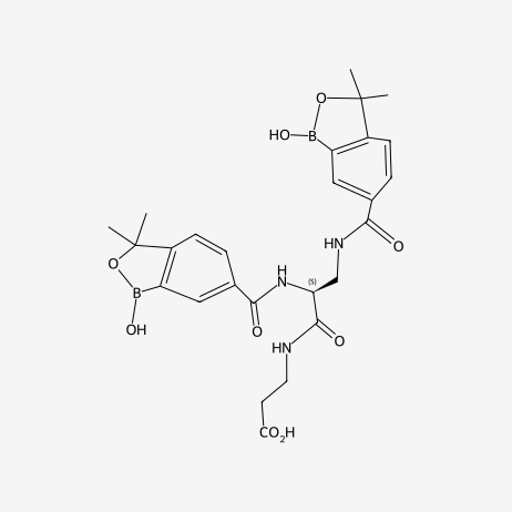 CC1(C)OB(O)c2cc(C(=O)NC[C@H](NC(=O)c3ccc4c(c3)B(O)OC4(C)C)C(=O)NCCC(=O)O)ccc21